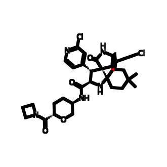 CC1(C)CCC2(CC1)N[C@@H](C(=O)N[C@@H]1CC[C@@H](C(=O)N3CCC3)OC1)[C@H](c1ccnc(Cl)c1)[C@]21C(=O)Nc2cc(Cl)ccc21